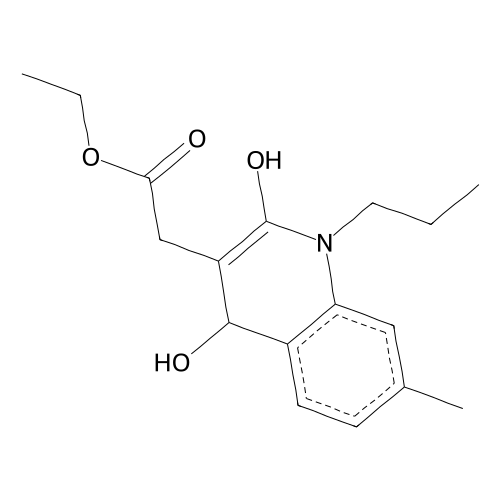 CCCN1C(O)=C(CC(=O)OCC)C(O)c2ccc(C)cc21